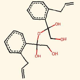 C=CCc1ccccc1C(O)(CO)OC(O)(CO)c1ccccc1CC=C